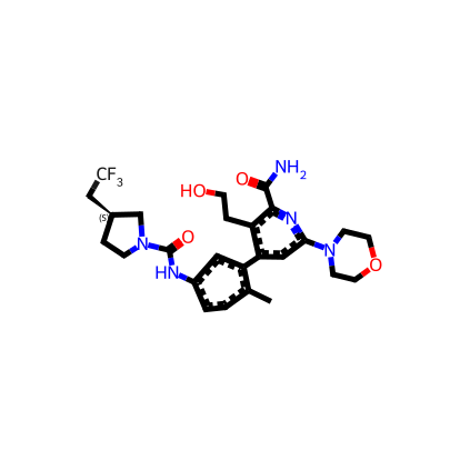 Cc1ccc(NC(=O)N2CC[C@@H](CC(F)(F)F)C2)cc1-c1cc(N2CCOCC2)nc(C(N)=O)c1CCO